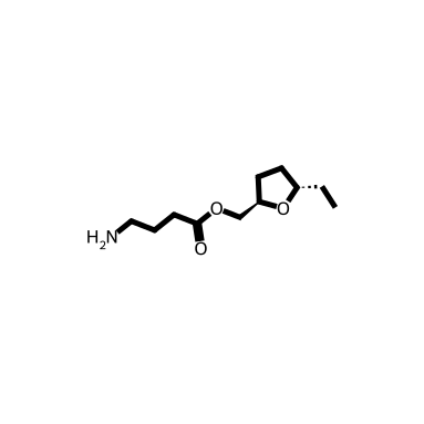 CC[C@H]1CC[C@H](COC(=O)CCCN)O1